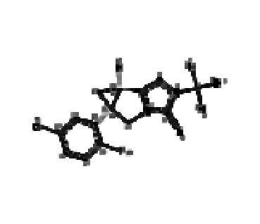 [2H]C([2H])([2H])n1cc2n(c1=S)C[C@@]1(c3cc(Cl)ccc3F)C[C@@H]21